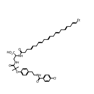 CCC=CCC=CCC=CCC=CCC=CCC=CCCC(=O)NC(CNC(=O)C(C)(C)Oc1ccc(CCNC(=O)c2ccc(Cl)cc2)cc1)C(=O)O